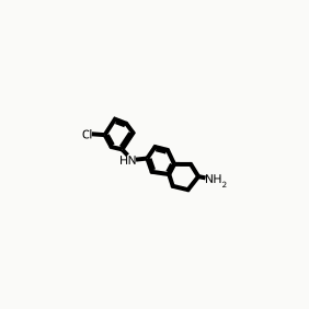 NC1CCc2cc(Nc3cccc(Cl)c3)ccc2C1